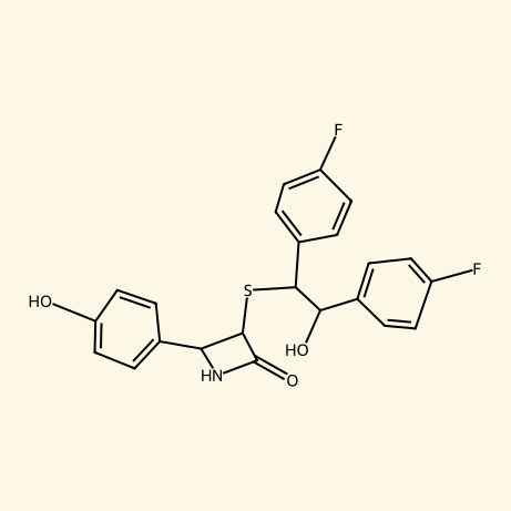 O=C1NC(c2ccc(O)cc2)C1SC(c1ccc(F)cc1)C(O)c1ccc(F)cc1